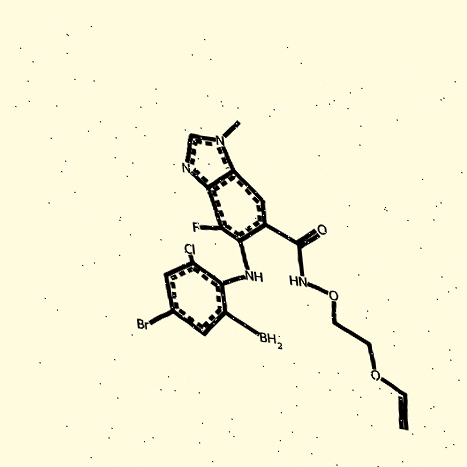 Bc1cc(Br)cc(Cl)c1Nc1c(C(=O)NOCCOC=C)cc2c(ncn2C)c1F